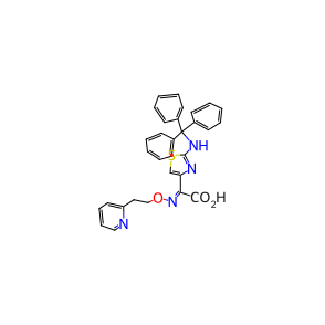 O=C(O)C(=NOCCc1ccccn1)c1csc(NC(c2ccccc2)(c2ccccc2)c2ccccc2)n1